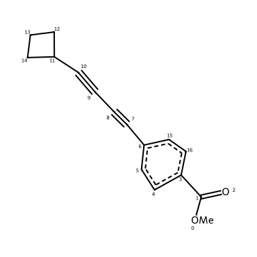 COC(=O)c1ccc(C#CC#CC2CCC2)cc1